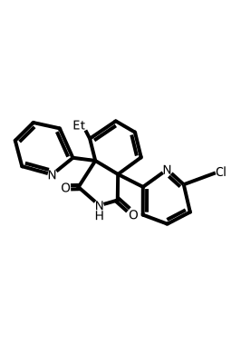 CCC1=CC=CC2(c3cccc(Cl)n3)C(=O)NC(=O)C12c1ccccn1